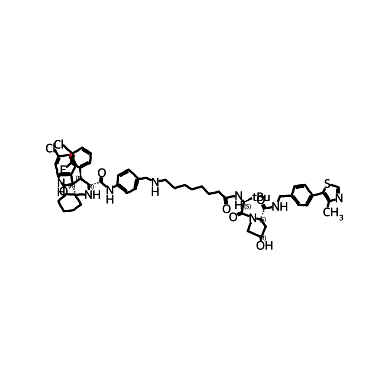 Cc1ncsc1-c1ccc(CNC(=O)[C@@H]2C[C@@H](O)CN2C(=O)[C@@H](NC(=O)CCCCCCCNCc2ccc(NC(=O)[C@@H]3NC4(CCCCC4)[C@@]4(C(=O)Nc5cc(Cl)ccc54)[C@H]3c3cccc(Cl)c3F)cc2)C(C)(C)C)cc1